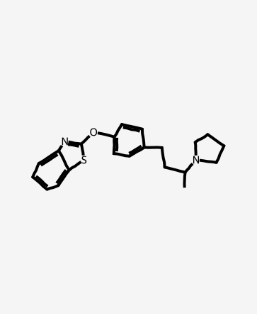 CC(CCc1ccc(Oc2nc3ccccc3s2)cc1)N1CCCC1